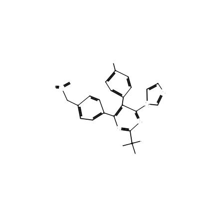 O=[SH](=O)Cc1ccc(-c2nc(C(F)(F)F)nc(-n3ccnc3)c2-c2ccc(F)cc2)cc1